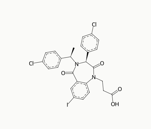 C[C@H](c1ccc(Cl)cc1)N1C(=O)c2cc(I)ccc2N(CCC(=O)O)C(=O)[C@@H]1c1ccc(Cl)cc1